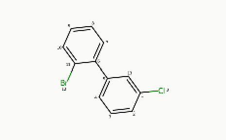 Clc1[c]ccc(-c2ccccc2Br)c1